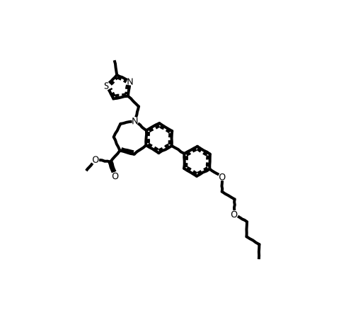 CCCCOCCOc1ccc(-c2ccc3c(c2)C=C(C(=O)OC)CCN3Cc2csc(C)n2)cc1